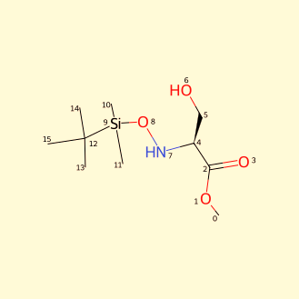 COC(=O)[C@H](CO)NO[Si](C)(C)C(C)(C)C